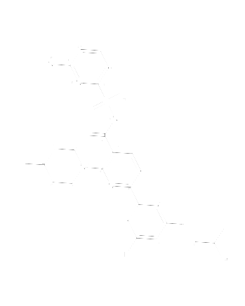 CCC1CCN(c2nc(-c3cc(F)cc(OCC(C)C)c3)ccc2C(=O)NS(=O)(=O)c2cccc(N)n2)CC1